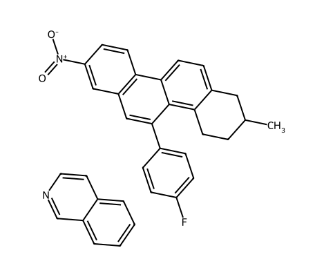 CC1CCc2c(ccc3c2c(-c2ccc(F)cc2)cc2cc([N+](=O)[O-])ccc23)C1.c1ccc2cnccc2c1